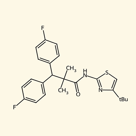 CC(C)(C)c1csc(NC(=O)C(C)(C)C(c2ccc(F)cc2)c2ccc(F)cc2)n1